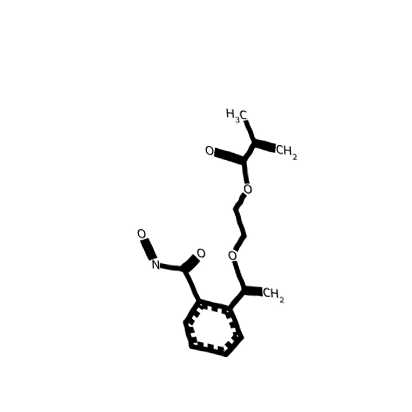 C=C(C)C(=O)OCCOC(=C)c1ccccc1C(=O)N=O